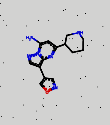 Nc1cc(C2CCCNC2)nc2c(-c3cnoc3)cnn12